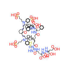 CC1(C)C(/C=C/C2=C(Oc3ccc(C[C@H](NC(=O)[C@H](Cc4ccccc4)NC(=O)CCCCCC(=O)NC(=N)NC(=O)CC[C@H](NC(=O)N[C@@H](CCC(=O)O)C(=O)O)C(=O)O)C(=O)O)cc3)C(=C/C=C3/N(CCCCS(=O)(=O)O)c4ccc(S(=O)(=O)O)cc4C3(C)C)/CCC2)=[N+](CCCCS(=O)(=O)O)c2ccc(S)cc21